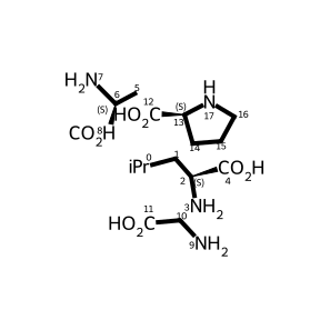 CC(C)C[C@H](N)C(=O)O.C[C@H](N)C(=O)O.NCC(=O)O.O=C(O)[C@@H]1CCCN1